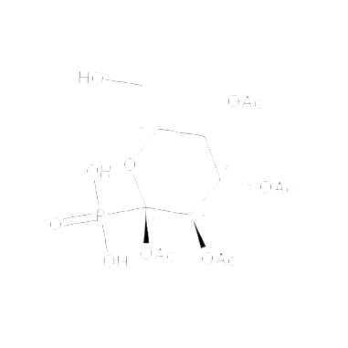 CC(=O)O[C@@H]1[C@H](OC(C)=O)[C@@H](OC(C)=O)[C@](OC(C)=O)(P(=O)(O)O)O[C@@H]1CO